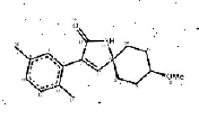 CO[C@H]1CC[C@]2([C]=C(c3cc(C)ccc3C)C(=O)N2)CC1